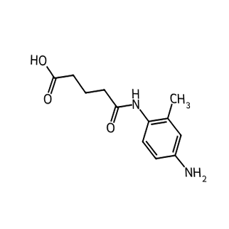 Cc1cc(N)ccc1NC(=O)CCCC(=O)O